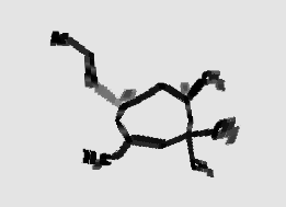 CC(=O)C=C[C@@H]1C[C@@H](C)C(C)(C)C=C1C